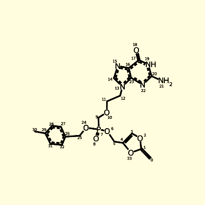 C=C1OC=C(COP(=O)(COCCn2cnc3c(=O)[nH]c(N)nc32)OCc2ccc(C)cc2)O1